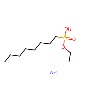 CCCCCCCCP(=O)(O)OCC.N